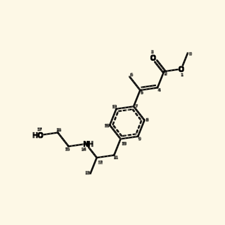 COC(=O)/C=C(\C)c1ccc(CC(C)NCCO)cc1